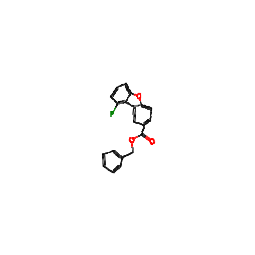 O=C(OCc1ccccc1)c1ccc2oc3cccc(F)c3c2c1